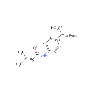 CCCCCC(C(=O)O)c1ccc(NC(=O)C=C(C)C)cc1